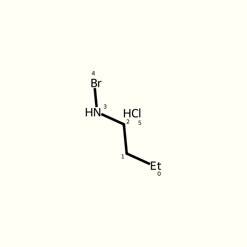 CCCCNBr.Cl